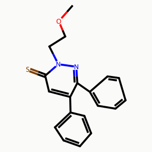 COCCn1nc(-c2ccccc2)c(-c2ccccc2)cc1=S